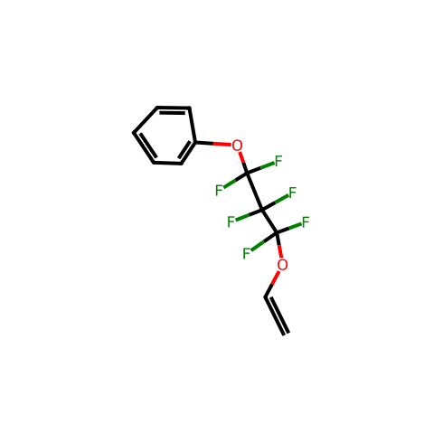 C=COC(F)(F)C(F)(F)C(F)(F)Oc1ccccc1